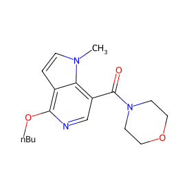 CCCCOc1ncc(C(=O)N2CCOCC2)c2c1ccn2C